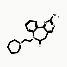 Nc1ncc2c(n1)-c1ccccc1N(CCN1CCCCCC1)C(=O)C2